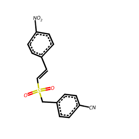 N#Cc1ccc(CS(=O)(=O)C=Cc2ccc([N+](=O)[O-])cc2)cc1